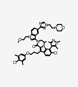 COCCn1cc(N2CC(C)n3c(c(CCCOc4cc(C)c(Cl)c(C)c4)c4ccc(Cl)c(-c5c(C)nn(C)c5C)c43)C2=O)c2cc(-c3ncn(CCN4CCOCC4)n3)ccc21